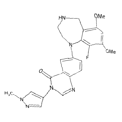 COc1cc(OC)c2c(c1F)N(c1ccc3ncn(-c4cnn(C)c4)c(=O)c3c1)CCNC2